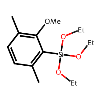 CCO[Si](OCC)(OCC)c1c(C)ccc(C)c1OC